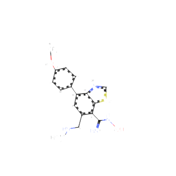 N=C(NO)c1c(CNC(=O)O)cc(-c2ccc(OC(F)(F)F)cc2)c2ncsc12